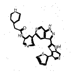 O=C(CC1CCNCC1)Nc1cncc(-c2cc3c(-c4cc5c(-c6cccs6)cncc5[nH]4)n[nH]c3cn2)c1